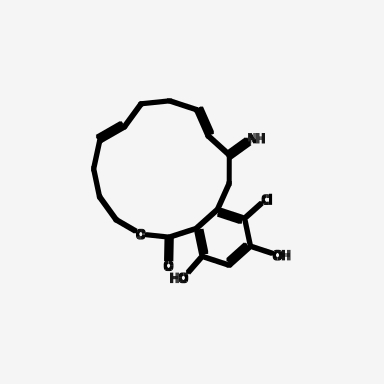 N=C1/C=C/CC/C=C/CCCOC(=O)c2c(O)cc(O)c(Cl)c2C1